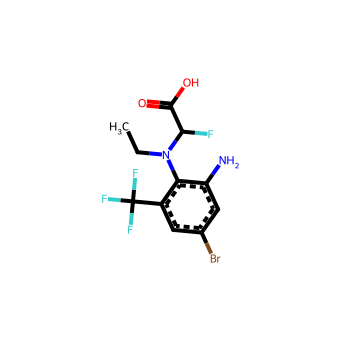 CCN(c1c(N)cc(Br)cc1C(F)(F)F)C(F)C(=O)O